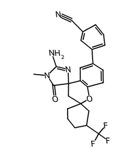 CN1C(=O)C2(CC3(CCCC(C(F)(F)F)C3)Oc3ccc(-c4cccc(C#N)c4)cc32)N=C1N